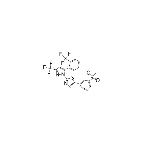 CS(=O)(=O)c1cccc(-c2cnc(-n3nc(C(F)(F)F)cc3-c3ccccc3C(F)(F)F)s2)c1